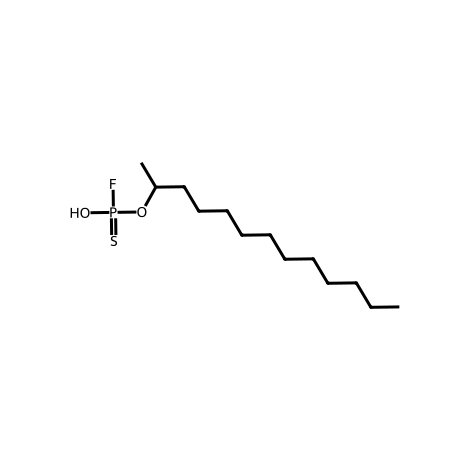 CCCCCCCCCCCC(C)OP(O)(F)=S